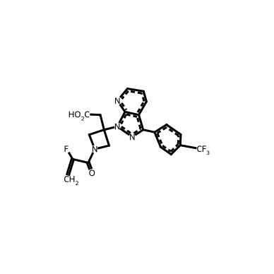 C=C(F)C(=O)N1CC(CC(=O)O)(n2nc(-c3ccc(C(F)(F)F)cc3)c3cccnc32)C1